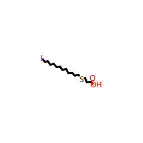 O=C(O)CCSCCCCCCCCCCCCI